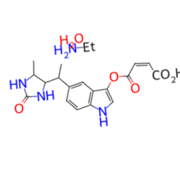 CC1NC(=O)NC1C(C)c1ccc2[nH]cc(OC(=O)/C=C\C(=O)O)c2c1.CCN.O